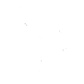 CC(C)(C)C(=O)c1c[nH]c2ncc(-c3ccccn3)nc12